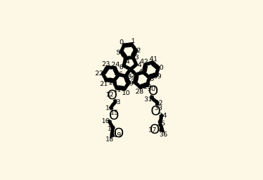 c1ccc2c(c1)CC(c1ccc(OCCOCC3CO3)c3ccccc13)(c1ccc(OCCOCC3CO3)c3ccccc13)C2